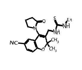 CCNC(=S)NCC1=C(N2CCCC2=O)c2cc(C#N)ccc2OC1(C)C